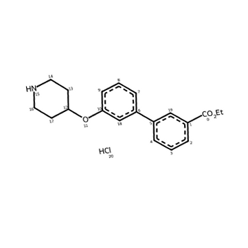 CCOC(=O)c1cccc(-c2cccc(OC3CCNCC3)c2)c1.Cl